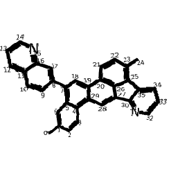 Cc1ccc2c(c1)c(-c1ccc3cccnc3c1)cc1c3ccc(C)c4c3c(cc21)-c1ncccc1-4